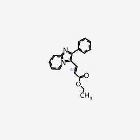 CCOC(=O)/C=C/c1c(-c2ccccc2)nc2ccccn12